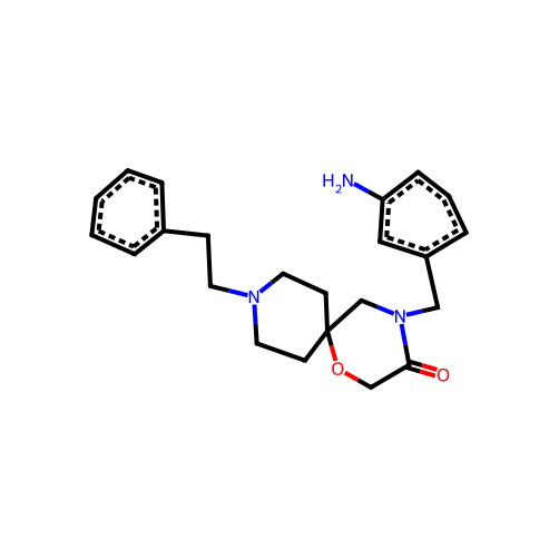 Nc1cccc(CN2CC3(CCN(CCc4ccccc4)CC3)OCC2=O)c1